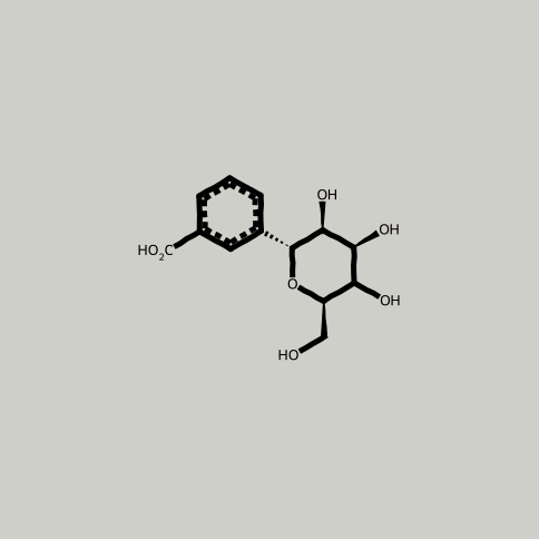 O=C(O)c1cccc([C@H]2O[C@H](CO)C(O)[C@H](O)[C@@H]2O)c1